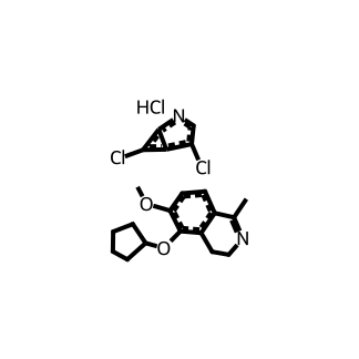 COc1ccc2c(c1OC1CCCC1)CCN=C2C.Cl.Clc1cnc2c(Cl)c1-2